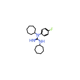 N=C(NC1CCCCCC1)N(c1ccc(F)cc1)C1CCCCCC1